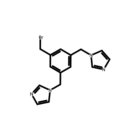 BrCc1cc(Cn2ccnc2)cc(Cn2ccnc2)c1